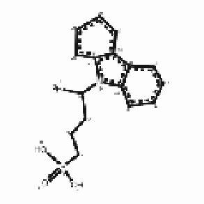 [2H]C(CCCP(=O)(O)O)n1c2ccccc2c2ccccc21